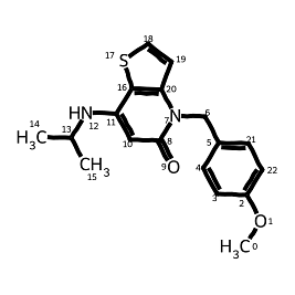 COc1ccc(Cn2c(=O)cc(NC(C)C)c3sccc32)cc1